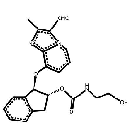 Cc1nc2c(O[C@@H]3c4ccccc4C[C@H]3OC(=O)NCCO)cccn2c1C=O